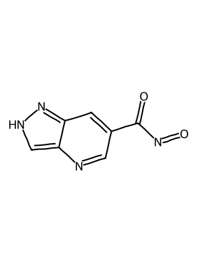 O=NC(=O)c1cnc2c[nH]nc2c1